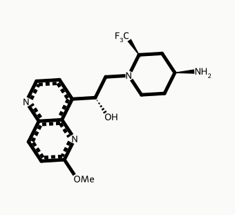 COc1ccc2nccc([C@@H](O)CN3CC[C@H](N)C[C@@H]3C(F)(F)F)c2n1